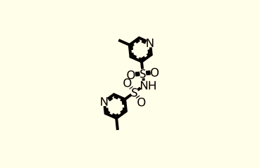 Cc1cncc(S(=O)(=O)NS(=O)(=O)c2cncc(C)c2)c1